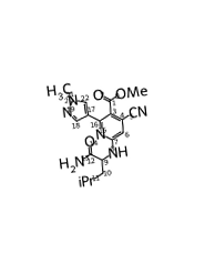 COC(=O)c1c(C#N)cc(NC(CC(C)C)C(N)=O)nc1-c1cnn(C)c1